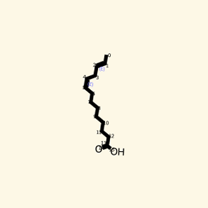 C/C=C/C/C=C\CCCCCCCC(=O)O